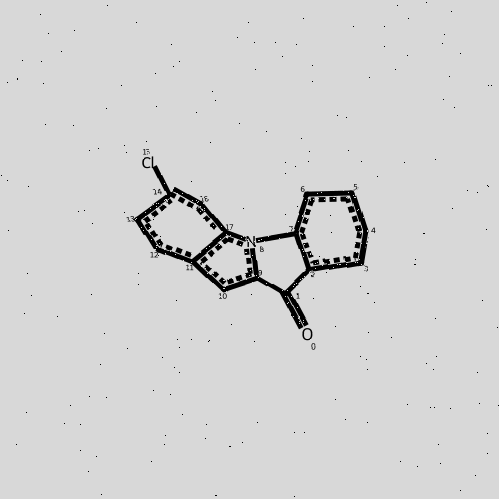 O=C1c2ccccc2-n2c1cc1ccc(Cl)cc12